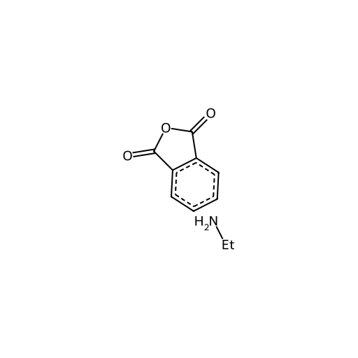 CCN.O=C1OC(=O)c2ccccc21